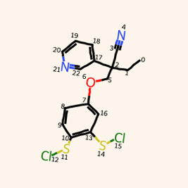 CCC(C#N)(COc1ccc(SCl)c(SCl)c1)c1cccnc1